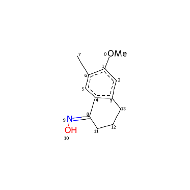 COc1cc2c(cc1C)C(=NO)CCC2